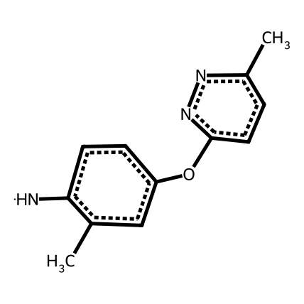 Cc1ccc(Oc2ccc([NH])c(C)c2)nn1